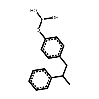 CC(Cc1ccc(OP(O)O)cc1)c1ccccc1